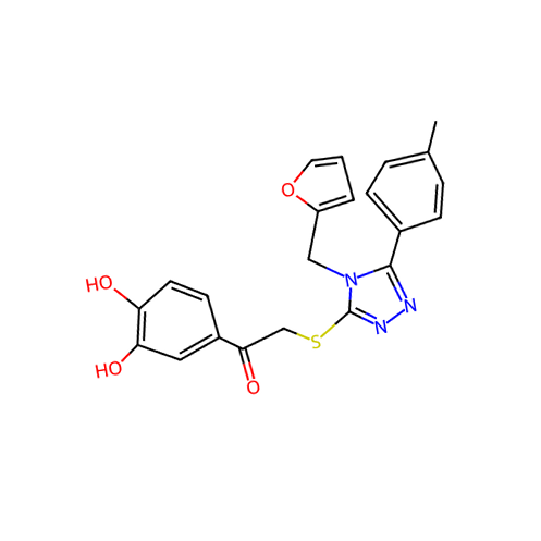 Cc1ccc(-c2nnc(SCC(=O)c3ccc(O)c(O)c3)n2Cc2ccco2)cc1